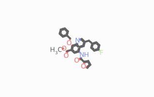 COC(=O)c1cc(NC(=O)c2ccco2)c2cc(Cc3ccc(F)cc3)cnc2c1OCc1ccccc1